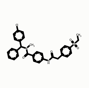 CCS(=O)(=O)c1ccc(CC(=O)Nc2ccc(C(=O)N(C)C(c3ccccc3)c3ccc(Cl)cc3)cc2)cc1